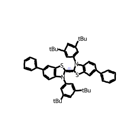 CC(C)(C)c1cc(N2/C(=C3\Sc4cc(-c5ccccc5)ccc4N3c3cc(C(C)(C)C)cc(C(C)(C)C)c3)Sc3cc(-c4ccccc4)ccc32)cc(C(C)(C)C)c1